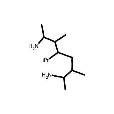 CC(C)C(CC(C)C(C)N)C(C)C(C)N